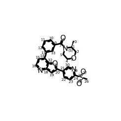 C[C@H]1COCCN1C(=O)c1cccc(-c2ccnc3cc(-c4ccc(S(C)(=O)=O)nc4)oc23)c1